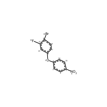 O=[N+]([O-])c1ccc(Oc2ccc(Br)c(F)c2)cc1